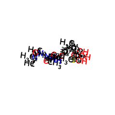 C#CCN(C)C(=O)CN(C)CCNC(=O)C(C)(C)NC(=O)CCOc1ccc(Cc2cc([C@@H]3O[C@H](SC)[C@@H](O)[C@H](O)[C@H]3O)ccc2C)cc1